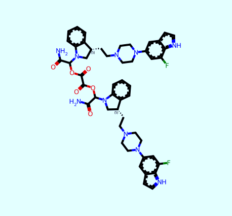 NC(=O)C(OC(=O)C(=O)OC(C(N)=O)N1C[C@@H](CCN2CCN(c3cc(F)c4[nH]ccc4c3)CC2)c2ccccc21)N1C[C@@H](CCN2CCN(c3cc(F)c4[nH]ccc4c3)CC2)c2ccccc21